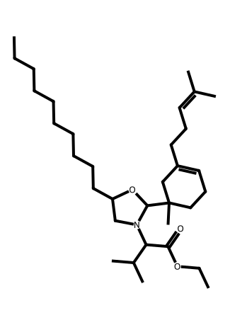 CCCCCCCCCCC1CN(C(C(=O)OCC)C(C)C)C(C2(C)CCC=C(CCC=C(C)C)C2)O1